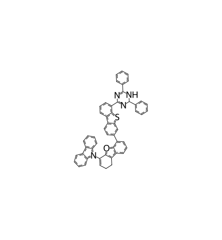 C1=C(n2c3ccccc3c3ccccc32)c2oc3c(-c4ccc5c(c4)sc4c(C6=NC(c7ccccc7)NC(c7ccccc7)=N6)cccc45)cccc3c2CC1